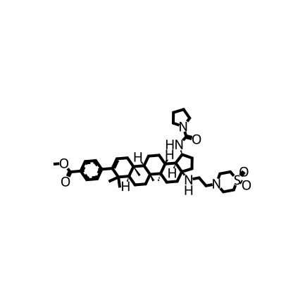 COC(=O)c1ccc(C2=CC[C@]3(C)[C@H]4CC[C@@H]5[C@H]6[C@H](NC(=O)N7CCCC7)CC[C@]6(NCCN6CCS(=O)(=O)CC6)CC[C@@]5(C)[C@]4(C)CC[C@H]3C2(C)C)cc1